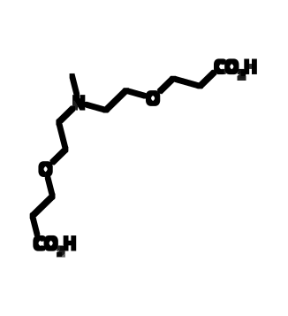 CN(CCOCCC(=O)O)CCOCCC(=O)O